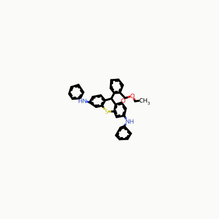 CCOC(=O)c1ccccc1C1c2ccc(Nc3ccccc3)cc2Sc2cc(Nc3ccccc3)ccc21